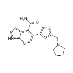 NC(=O)c1c(-c2csc(CN3CCCC3)c2)cnc2[nH]c[c]c12